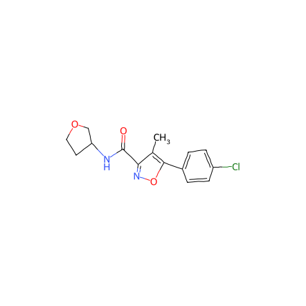 Cc1c(C(=O)NC2CCOC2)noc1-c1ccc(Cl)cc1